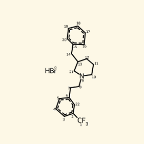 Br.FC(F)(F)c1cccc(CCN2CCCC(Cc3ccccc3)C2)c1